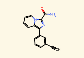 C#Cc1cccc(-c2nc(C(N)=O)n3ccccc23)c1